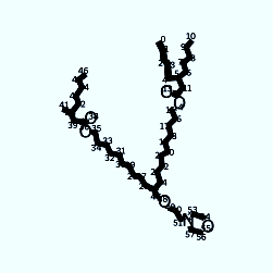 C=C=C=C=CC(CCCCC)CC(=O)OCCCCCCCCCCC(CCCCCCCCCCOC(=O)CC(C)CCCCC)COCCCN1CCOCC1